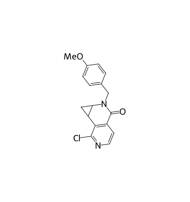 COc1ccc(CN2C(=O)c3ccnc(Cl)c3C3CC32)cc1